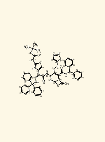 CC(C)(C)OC(=O)Nc1nc(/C(=N/OC(c2ccccc2)(c2ccccc2)c2ccccc2)C(=O)NC2SC3CC(=O)N3C(C(=O)OC(c3ccccc3)c3ccccc3)=C2CSc2cnns2)cs1